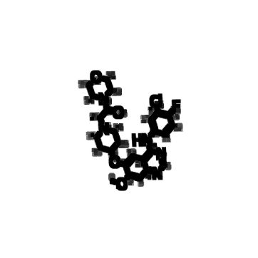 COc1cc2ncnc(Nc3ccc(F)c(Cl)c3)c2cc1OC1CCN(CC(=O)N2CCOCC2)CC1